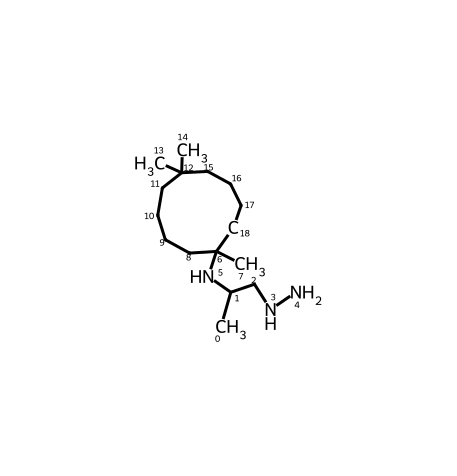 CC(CNN)NC1(C)CCCCC(C)(C)CCCC1